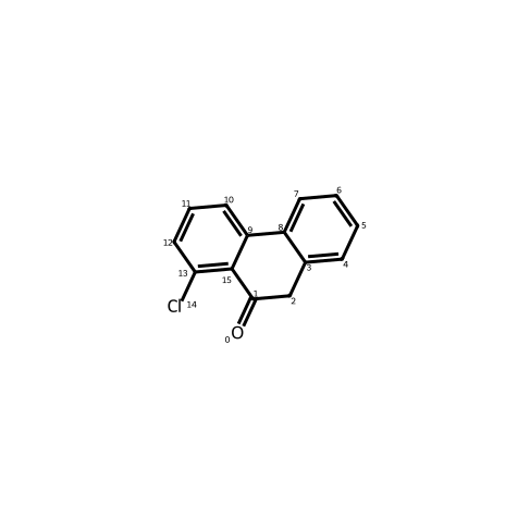 O=C1Cc2ccccc2-c2cccc(Cl)c21